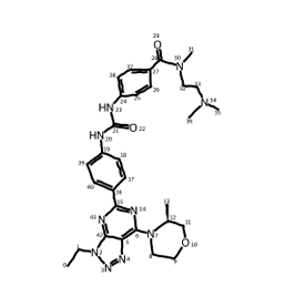 CCn1nnc2c(N3CCOC[C@@H]3C)nc(-c3ccc(NC(=O)Nc4ccc(C(=O)N(C)CCN(C)C)cc4)cc3)nc21